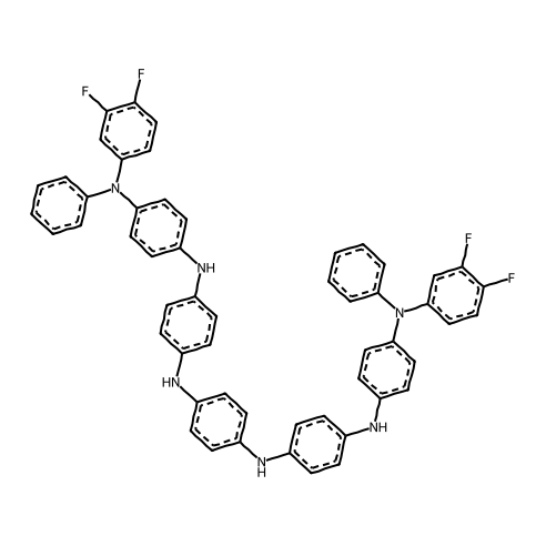 Fc1ccc(N(c2ccccc2)c2ccc(Nc3ccc(Nc4ccc(Nc5ccc(Nc6ccc(N(c7ccccc7)c7ccc(F)c(F)c7)cc6)cc5)cc4)cc3)cc2)cc1F